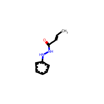 CC=CC(=O)NNc1ccccc1